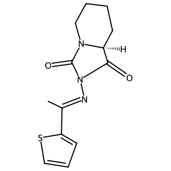 C/C(=N\N1C(=O)[C@@H]2CCCCN2C1=O)c1cccs1